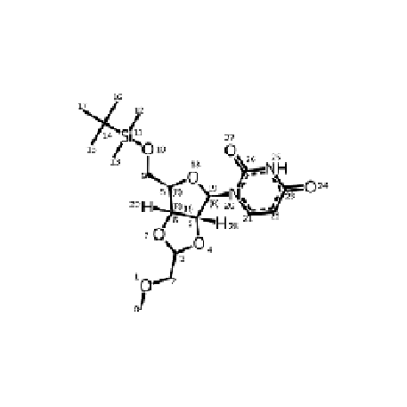 COCC1O[C@@H]2[C@H](O1)[C@@H](CO[Si](C)(C)C(C)(C)C)O[C@H]2n1ccc(=O)[nH]c1=O